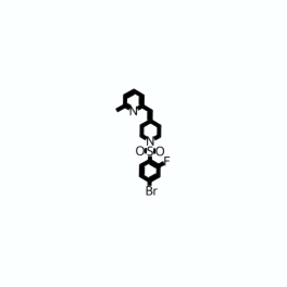 Cc1cccc(C=C2CCN(S(=O)(=O)c3ccc(Br)cc3F)CC2)n1